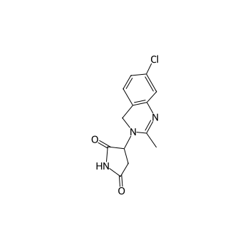 CC1=Nc2cc(Cl)ccc2CN1C1CC(=O)NC1=O